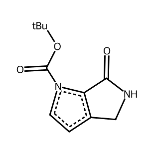 CC(C)(C)OC(=O)n1ccc2c1C(=O)NC2